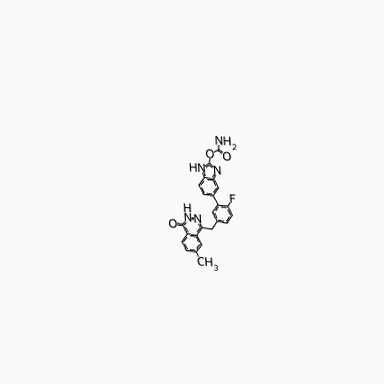 Cc1ccc2c(=O)[nH]nc(Cc3ccc(F)c(-c4ccc5[nH]c(OC(N)=O)nc5c4)c3)c2c1